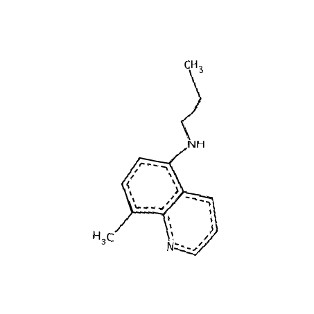 CCCNc1ccc(C)c2ncccc12